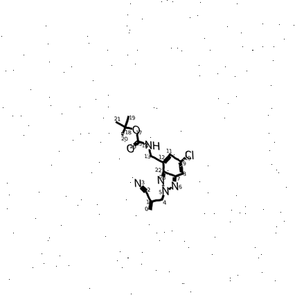 C=C(C#N)Cn1nc2cc(Cl)cc(CNC(=O)OC(C)(C)C)c2n1